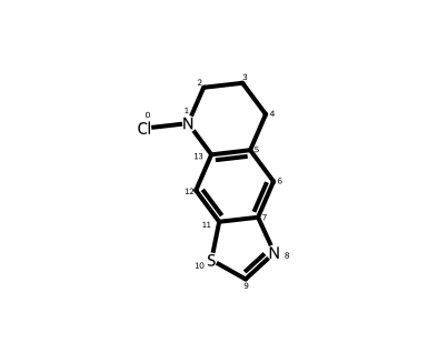 ClN1CCCc2cc3ncsc3cc21